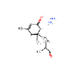 CC(C)C=O.CC1=CC(=O)CC(C)(C)C1.N.N